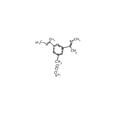 CN=C(C)c1cc(C)cc(C(C)=NC)n1.[Cl-].[Cl-].[Cl-].[V+3]